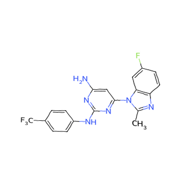 Cc1nc2ccc(F)cc2n1-c1cc(N)nc(Nc2ccc(C(F)(F)F)cc2)n1